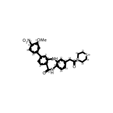 COc1cc(-c2ccc3c(c2)Nc2cc(CC(=O)N4CCSCC4)ccc2NC3=O)ccc1[N+](=O)[O-]